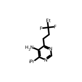 CCC(F)(F)CCc1ncnc(C(C)C)c1N